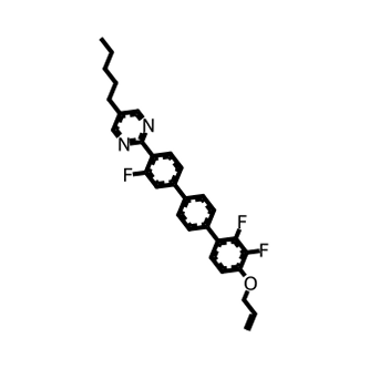 C=CCOc1ccc(-c2ccc(-c3ccc(-c4ncc(CCCCC)cn4)c(F)c3)cc2)c(F)c1F